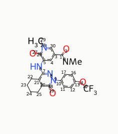 CNC(=O)c1cc(Nc2nn(-c3ccc(OC(F)(F)F)cc3)c(=O)c3c2CCCC3)c(=O)n(C)c1